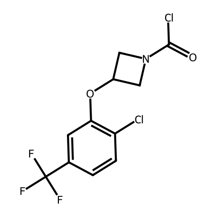 O=C(Cl)N1CC(Oc2cc(C(F)(F)F)ccc2Cl)C1